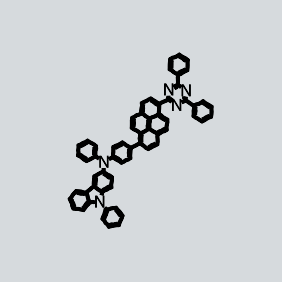 c1ccc(-c2nc(-c3ccccc3)nc(-c3ccc4ccc5c(-c6ccc(N(c7ccccc7)c7ccc8c(c7)c7ccccc7n8-c7ccccc7)cc6)ccc6ccc3c4c65)n2)cc1